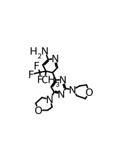 CC1(C(F)(F)F)C=C(N)N=CC1c1cc(N2CCOCC2)nc(N2CCOCC2)n1